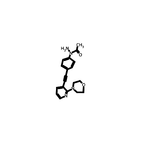 CC(=O)N(N)c1ccc(C#Cc2cccnc2N2CCOCC2)cc1